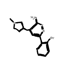 CN1CCC(c2cc(-c3ccccc3O)nnc2N)C1